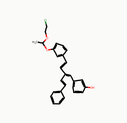 CC(OCCCl)Oc1cccc(C=CC(C=Cc2ccccc2)=Cc2cccc(O)c2)c1